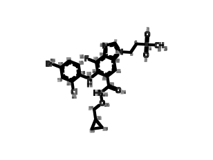 CS(=O)(=O)CCn1cnc2c(F)c(Nc3ccc(Br)cc3Cl)c(C(=O)NOCC3CC3)cc21